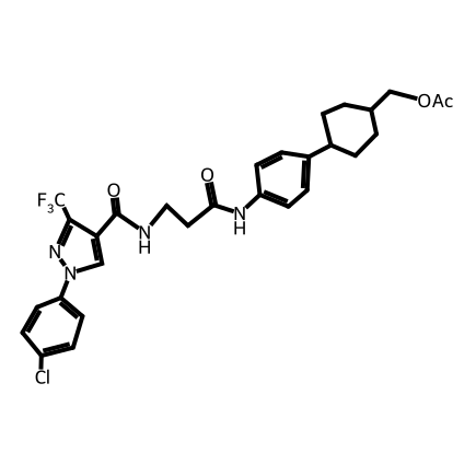 CC(=O)OCC1CCC(c2ccc(NC(=O)CCNC(=O)c3cn(-c4ccc(Cl)cc4)nc3C(F)(F)F)cc2)CC1